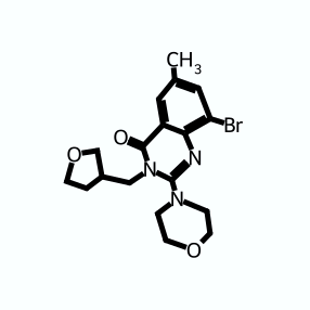 Cc1cc(Br)c2nc(N3CCOCC3)n(CC3CCOC3)c(=O)c2c1